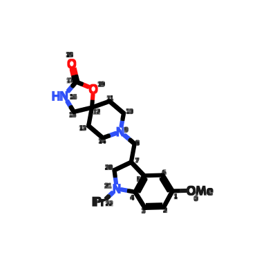 COc1ccc2c(c1)C(CN1CCC3(CC1)CNC(=O)O3)CN2C(C)C